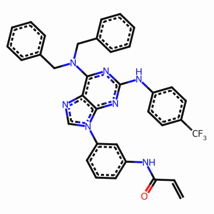 C=CC(=O)Nc1cccc(-n2cnc3c(N(Cc4ccccc4)Cc4ccccc4)nc(Nc4ccc(C(F)(F)F)cc4)nc32)c1